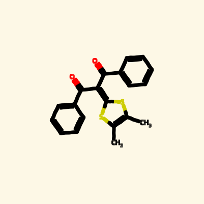 CC1=C(C)SC(=C(C(=O)c2ccccc2)C(=O)c2ccccc2)S1